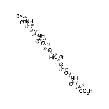 C[C@@H](CCC(=O)NCCOCCOCC(=O)NCCOCCOCC(=O)NCCCCCNC(=O)CBr)C(=O)O